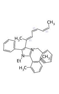 C\C=C/C=C\C=C(/C)c1c(-c2ccccc2)n(CC)c(-c2c(C)cccc2C)[n+]1Cc1c#cccc1